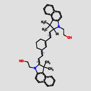 CCC1(/C=C/C2=CC(=C/C=C3/N(CCO)c4ccc5ccccc5c4C3(C)C)/CCC2)N(CCO)c2ccc3ccccc3c2C1(C)C